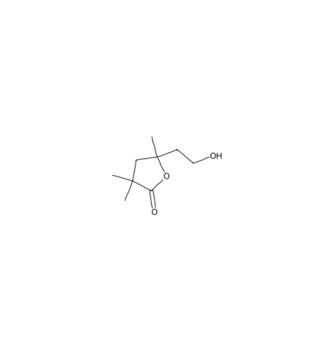 CC1(CCO)CC(C)(C)C(=O)O1